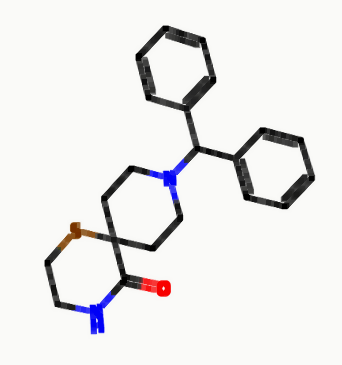 O=C1NCCSC12CCN(C(c1ccccc1)c1ccccc1)CC2